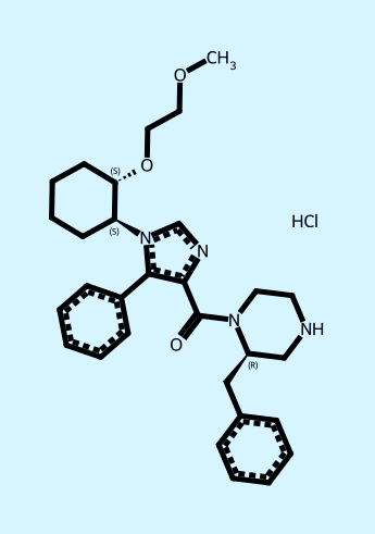 COCCO[C@H]1CCCC[C@@H]1n1cnc(C(=O)N2CCNC[C@H]2Cc2ccccc2)c1-c1ccccc1.Cl